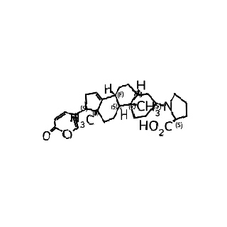 C[C@]12CC[C@H](N3CCC[C@H]3C(=O)O)C[C@H]1CC[C@H]1C3=CC[C@H](c4ccc(=O)oc4)[C@@]3(C)CC[C@@H]12